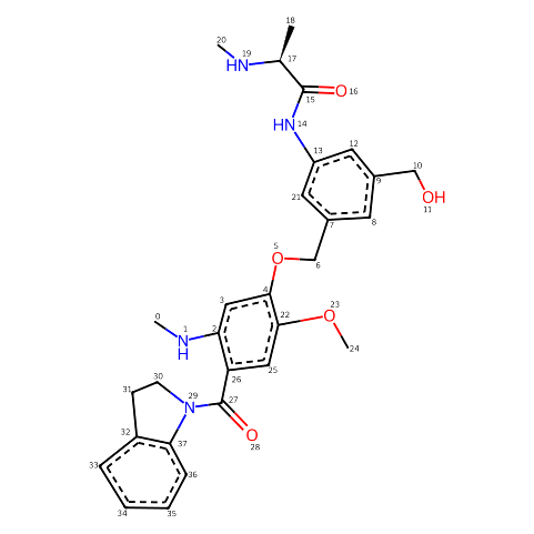 CNc1cc(OCc2cc(CO)cc(NC(=O)[C@H](C)NC)c2)c(OC)cc1C(=O)N1CCc2ccccc21